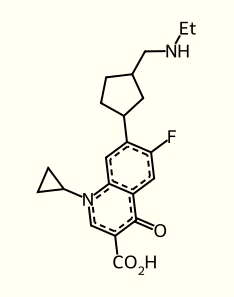 CCNCC1CCC(c2cc3c(cc2F)c(=O)c(C(=O)O)cn3C2CC2)C1